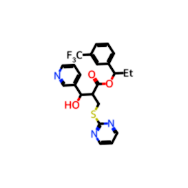 CCC(OC(=O)C(CSc1ncccn1)C(O)c1cccnc1)c1cccc(C(F)(F)F)c1